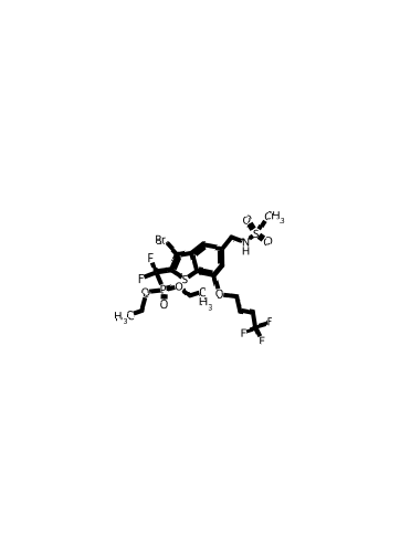 CCOP(=O)(OCC)C(F)(F)c1sc2c(OCCCC(F)(F)F)cc(CNS(C)(=O)=O)cc2c1Br